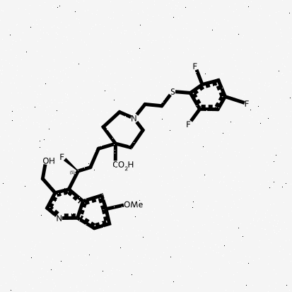 COc1ccc2ncc(CO)c([C@@H](F)CCC3(C(=O)O)CCN(CCSc4c(F)cc(F)cc4F)CC3)c2c1